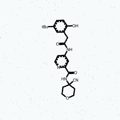 CC(C)(C)c1ccc(O)c(CC(=O)Nc2ccnc(C(=O)NC3(C#N)CCOCC3)c2)c1